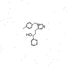 Cc1ccc(Cn2cncc2CCC(O)c2ccccc2)cc1